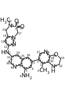 Cc1c(-c2cc(N)c3nnc(Nc4cc5n(n4)CS(=O)(=O)N(C)C5)cc3c2)cnc2c1NCCO2